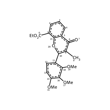 CCOC(=O)c1cccc2c(=O)c(C)c(-c3ccc(OC)c(OC)c3OC)oc12